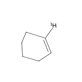 [1H]C1=CCCCC1